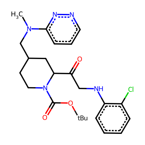 CN(CC1CCN(C(=O)OC(C)(C)C)C(C(=O)CNc2ccccc2Cl)C1)c1cccnn1